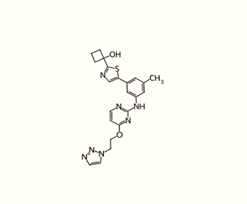 Cc1cc(Nc2nccc(OCCn3ccnn3)n2)cc(-c2cnc(C3(O)CCC3)s2)c1